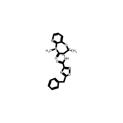 C[C@H]1Oc2cccnc2N(C)C(=O)[C@H]1NC(=O)c1noc(Cc2ccccc2)n1